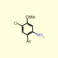 COc1cc(N)c(C(C)=O)cc1Cl